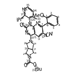 COc1ccccc1-c1nc2c(cc1C#N)c(N1CC3CN(C(=O)OC(C)(C)C)CC3C1)nc(=O)n2-c1c(C)ccnc1C(C)C